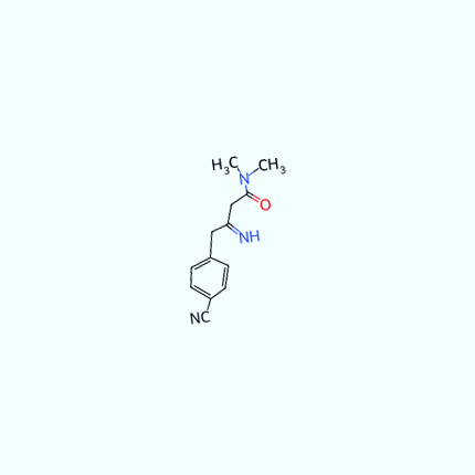 CN(C)C(=O)CC(=N)Cc1ccc(C#N)cc1